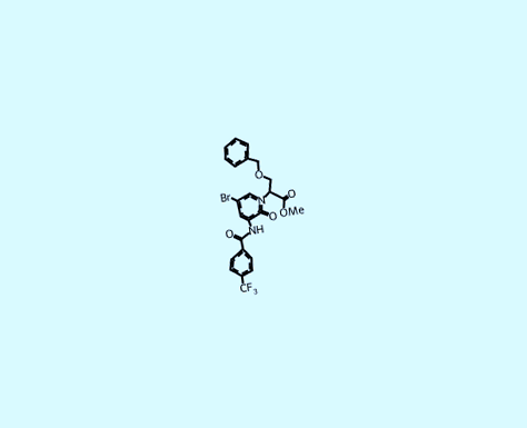 COC(=O)C(COCc1ccccc1)n1cc(Br)cc(NC(=O)c2ccc(C(F)(F)F)cc2)c1=O